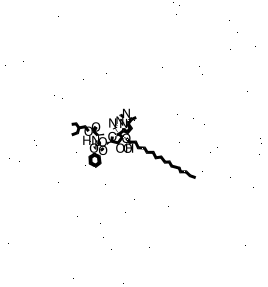 CCCCCCCCCCCCCCCC(=O)O[C@@H]1[C@H](O)[C@@H](COP(=O)(N[C@H](C)C(=O)OCC(CC)CC)Oc2ccccc2)O[C@@]1(C#N)c1ccc2c(C)ncnn12